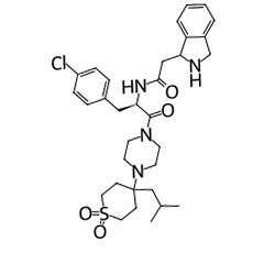 CC(C)CC1(N2CCN(C(=O)[C@@H](Cc3ccc(Cl)cc3)NC(=O)CC3NCc4ccccc43)CC2)CCS(=O)(=O)CC1